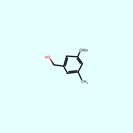 COc1cc(C)cc([CH]O)c1